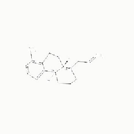 C=CCN1CCC[C@H]2c3cccc(N)c3CC[C@@H]21